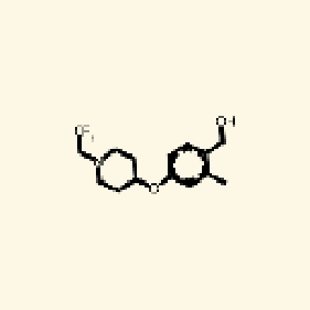 Cc1cc(OC2CCN(CC(F)(F)F)CC2)ccc1CO